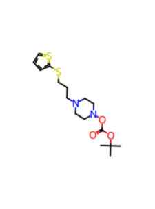 CC(C)(C)OC(=O)ON1CCN(CCCSc2cccs2)CC1